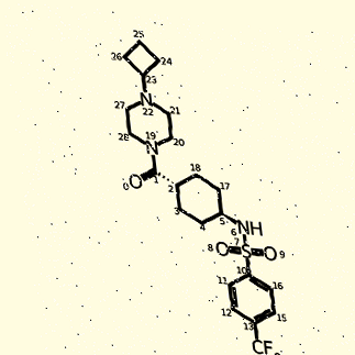 O=C([C@H]1CC[C@H](NS(=O)(=O)c2ccc(C(F)(F)F)cc2)CC1)N1CCN(C2CCC2)CC1